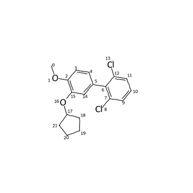 COc1ccc(-c2c(Cl)cccc2Cl)cc1OC1CCCC1